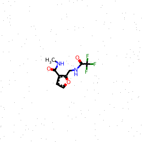 CNC(=O)c1ccoc1CNC(=O)C(F)(F)F